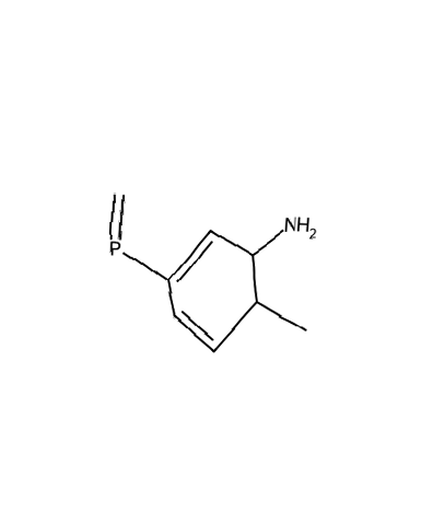 C=PC1=CC(N)C(C)C=C1